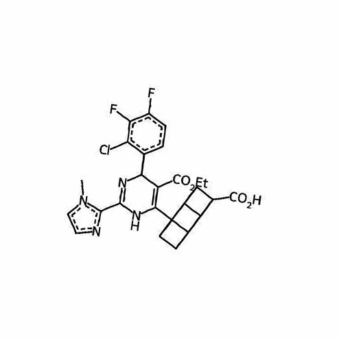 CCOC(=O)C1=C(C23C4C5C2C2C3C4C52C(=O)O)NC(c2nccn2C)=NC1c1ccc(F)c(F)c1Cl